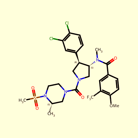 COc1ccc(C(=O)N(C)[C@@H]2CN(C(=O)N3CCN(S(C)(=O)=O)[C@@H](C)C3)C[C@H]2c2ccc(Cl)c(Cl)c2)cc1C(F)(F)F